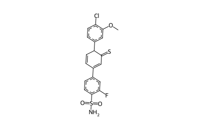 COc1cc(C2C=CC(c3ccc(S(N)(=O)=O)c(F)c3)=CC2=S)ccc1Cl